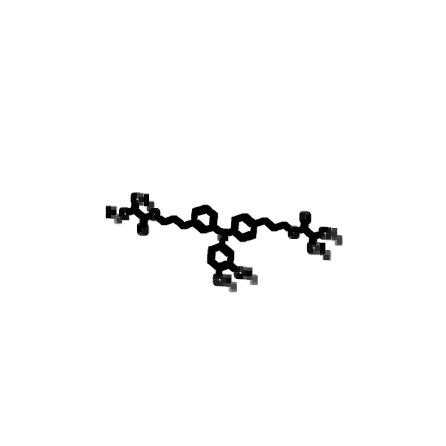 C=C(C)C(=O)OCCCc1ccc(N(c2cccc(CCCOC(=O)C(=C)C)c2)c2ccc(C)c(C)c2)cc1